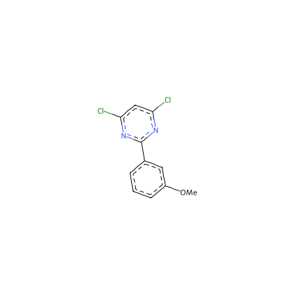 COc1cccc(-c2nc(Cl)cc(Cl)n2)c1